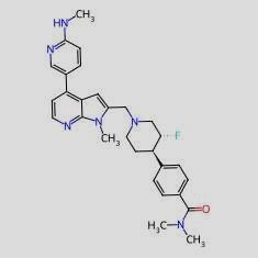 CNc1ccc(-c2ccnc3c2cc(CN2CC[C@H](c4ccc(C(=O)N(C)C)cc4)[C@@H](F)C2)n3C)cn1